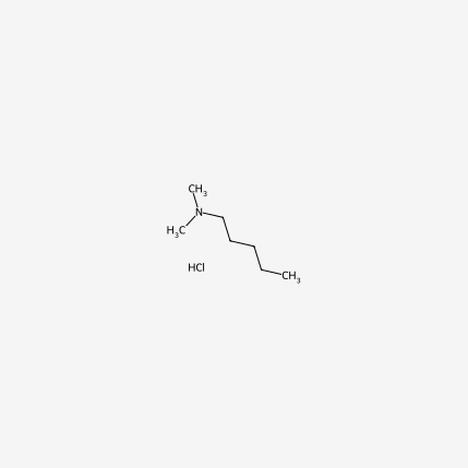 CCCCCN(C)C.Cl